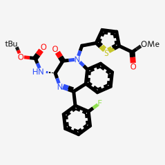 COC(=O)c1ccc(CN2C(=O)[C@@H](NC(=O)OC(C)(C)C)N=C(c3ccccc3F)c3ccccc32)s1